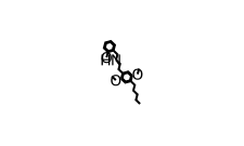 CCCCCc1cc(OC)c(CCNCc2ccccc2OC)cc1OC